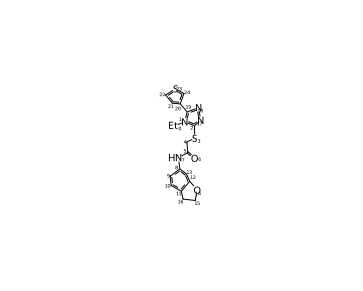 CCn1c(SCC(=O)Nc2ccc3c(c2)OCC3)nnc1-c1ccsc1